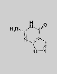 Nc1nc2c(c(=O)[nH]1)C=N[N]2